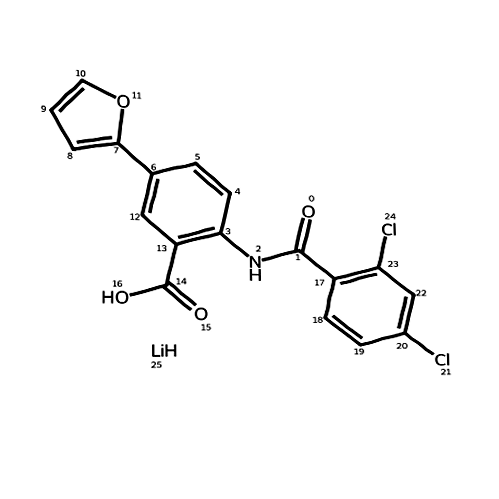 O=C(Nc1ccc(-c2ccco2)cc1C(=O)O)c1ccc(Cl)cc1Cl.[LiH]